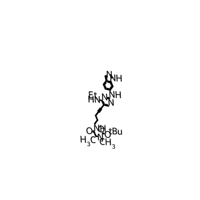 CCNc1nc(Nc2ccc3cn[nH]c3c2)ncc1C#CCCCNC(=O)[C@H](C)N(C)C(=O)OC(C)(C)C